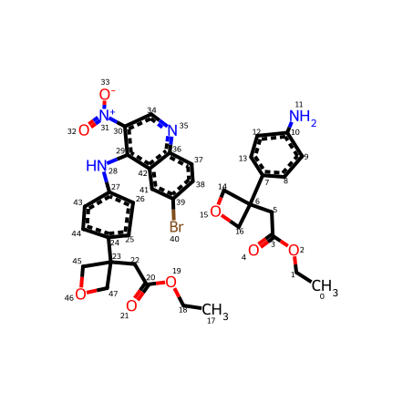 CCOC(=O)CC1(c2ccc(N)cc2)COC1.CCOC(=O)CC1(c2ccc(Nc3c([N+](=O)[O-])cnc4ccc(Br)cc34)cc2)COC1